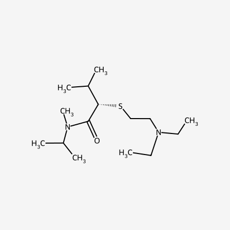 CCN(CC)CCS[C@H](C(=O)N(C)C(C)C)C(C)C